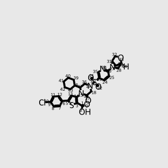 O=C(O)c1sc(-c2ccc(Cl)cc2)cc1N1C(=O)CN(S(=O)(=O)c2ccc(N3C[C@H]4CC3CO4)nc2)CC1C1CCCCC1